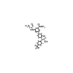 NC[C@@H](C=O)Nc1cc(C(N)=O)nc(-c2ccc3c(c2)OC[C@H](O)[C@H]3c2ccc(C(F)(F)F)cc2)n1